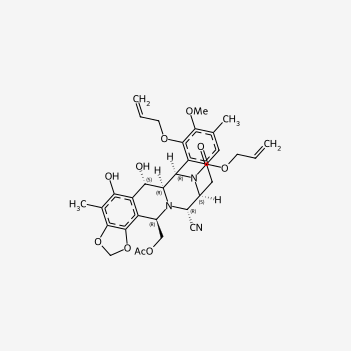 C=CCOC(=O)N1[C@@H]2c3c(cc(C)c(OC)c3OCC=C)C[C@H]1[C@H](C#N)N1[C@H]2[C@@H](O)c2c(O)c(C)c3c(c2[C@@H]1COC(C)=O)OCO3